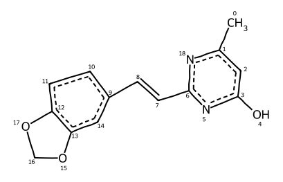 Cc1cc(O)nc(C=Cc2ccc3c(c2)OCO3)n1